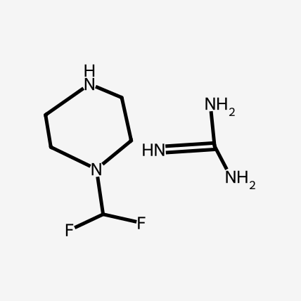 FC(F)N1CCNCC1.N=C(N)N